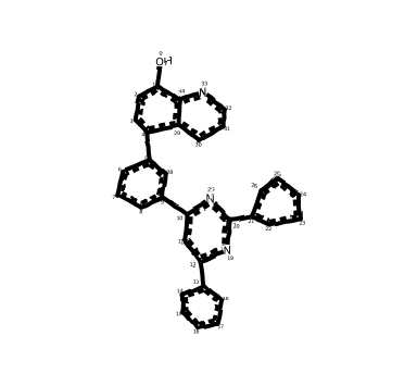 Oc1ccc(-c2cccc(-c3cc(-c4ccccc4)nc(-c4ccccc4)n3)c2)c2cccnc12